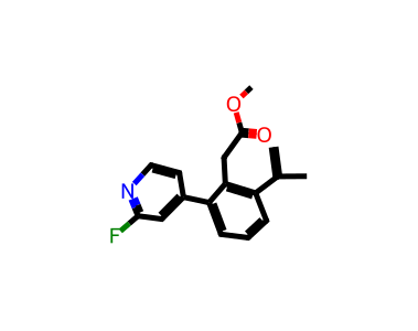 C=C(C)c1cccc(-c2ccnc(F)c2)c1CC(=O)OC